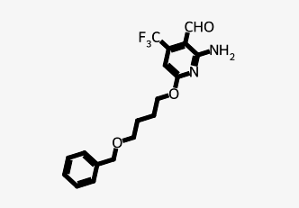 Nc1nc(OCCCCOCc2ccccc2)cc(C(F)(F)F)c1C=O